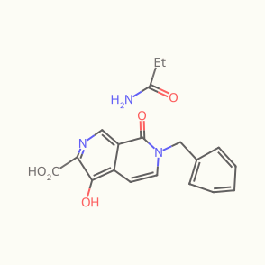 CCC(N)=O.O=C(O)c1ncc2c(=O)n(Cc3ccccc3)ccc2c1O